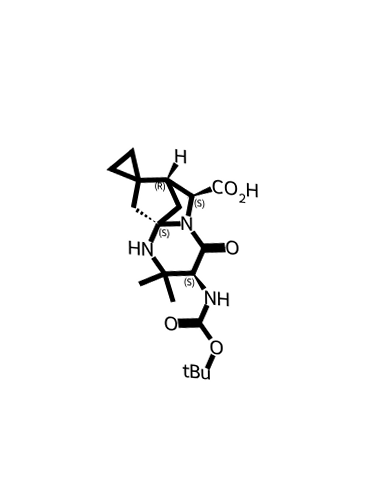 CC(C)(C)OC(=O)N[C@@H]1C(=O)N2[C@H](C(=O)O)[C@@H]3C[C@]2(CC32CC2)NC1(C)C